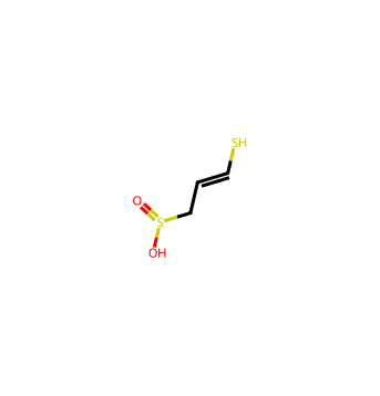 O=S(O)CC=CS